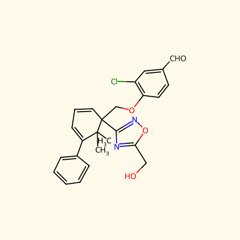 CC1(C)C(c2ccccc2)=CC=CC1(COc1ccc(C=O)cc1Cl)c1noc(CO)n1